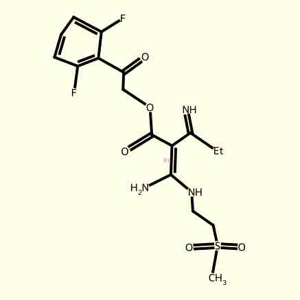 CCC(=N)/C(C(=O)OCC(=O)c1c(F)cccc1F)=C(/N)NCCS(C)(=O)=O